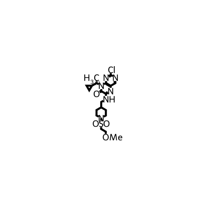 COCCS(=O)(=O)N1CCC(CNc2nc3cnc(Cl)nc3n([C@@H](C)C3CC3)c2=O)CC1